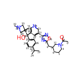 CC(=O)N1CCCC(Cc2nc(-c3cncc([C@@](O)(c4ccc(C(C)C)cc4)C4(C)CN(C)C4)c3)no2)C1